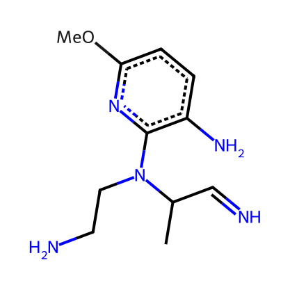 COc1ccc(N)c(N(CCN)C(C)C=N)n1